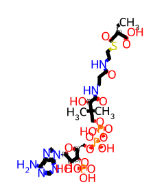 CC[C@H](C(=O)O)C(=O)SCCNC(=O)CCNC(=O)[C@H](O)C(C)(C)COP(=O)(O)OP(=O)(O)OC[C@H]1O[C@@H](n2cnc3c(N)ncnc32)[C@H](O)[C@@H]1OP(=O)(O)O